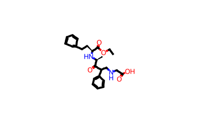 CCOC(=O)[C@H](CCc1ccccc1)N[C@@H](C)C(=O)C(CNCC(=O)O)c1ccccc1